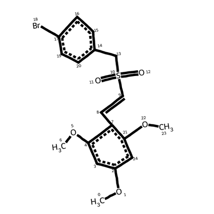 COc1cc(OC)c(C=CS(=O)(=O)Cc2ccc(Br)cc2)c(OC)c1